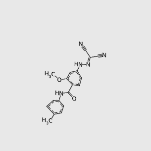 COc1cc(NN=C(C#N)C#N)ccc1C(=O)Nc1ccc(C)cc1